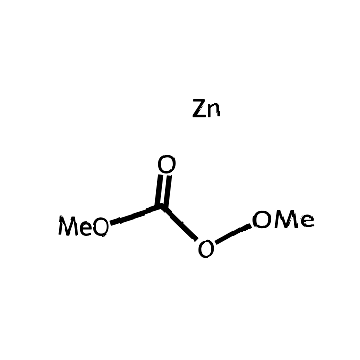 COOC(=O)OC.[Zn]